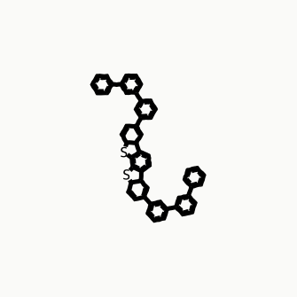 C1=CC2Sc3c(ccc4c3SC3C=CC(c5cccc(-c6cccc(-c7ccccc7)c6)c5)=CC43)C2C=C1c1cccc(-c2cccc(-c3ccccc3)c2)c1